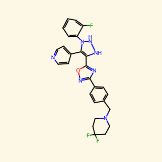 Fc1ccccc1N1NNC(c2nc(-c3ccc(CN4CCC(F)(F)CC4)cc3)no2)=C1c1ccncc1